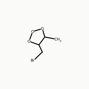 CC1OOOC1CBr